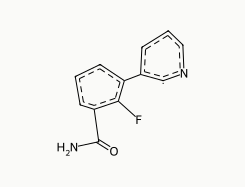 NC(=O)c1cccc(-c2[c]nccc2)c1F